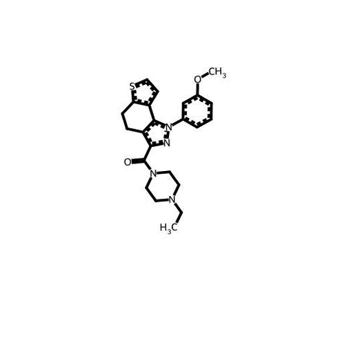 CCN1CCN(C(=O)c2nn(-c3cccc(OC)c3)c3c2CCc2sccc2-3)CC1